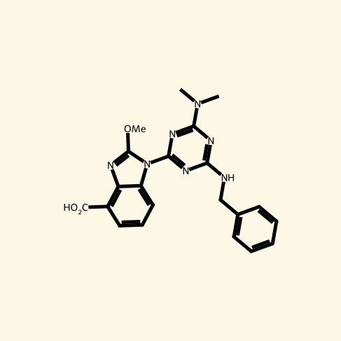 COc1nc2c(C(=O)O)cccc2n1-c1nc(NCc2ccccc2)nc(N(C)C)n1